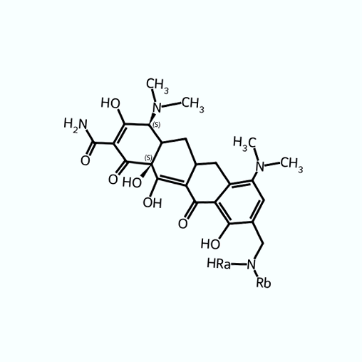 CN(C)c1cc(C[N]([Rb])[RaH])c(O)c2c1CC1CC3[C@H](N(C)C)C(O)=C(C(N)=O)C(=O)[C@@]3(O)C(O)=C1C2=O